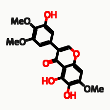 COc1cc2occ(-c3cc(O)c(OC)c(OC)c3)c(=O)c2c(O)c1O